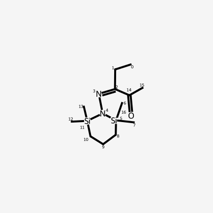 CCC(=NN1[Si](C)(C)CCC[Si]1(C)C)C(C)=O